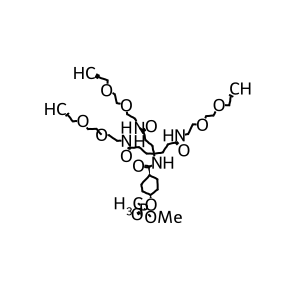 C#CCOCCOCCNC(=O)CCC(CCC(=O)NCCOCCOCC#C)(CCC(=O)NCCOCCOCC#C)NC(=O)[C@H]1CC[C@@H](OP(C)(=O)OC)CC1